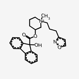 C[N+]1(CCCc2ccon2)CCCC(OC(=O)C2(O)c3ccccc3-c3ccccc32)C1